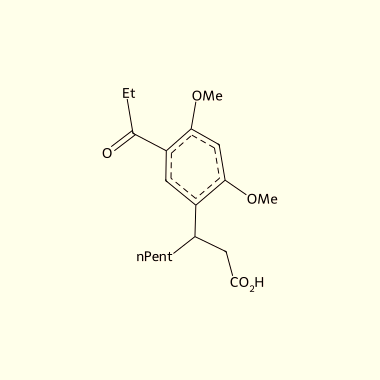 CCCCCC(CC(=O)O)c1cc(C(=O)CC)c(OC)cc1OC